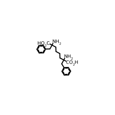 NC(CCCCC(N)(Cc1ccccc1)C(=O)O)(Cc1ccccc1)C(=O)O